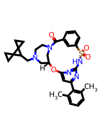 Cc1cccc(C)c1-c1cc2nc(n1)NS(=O)(=O)c1cccc(c1)C(=O)N1CCN(CC3C4(CC4)C34CC4)C[C@H](C1)O2